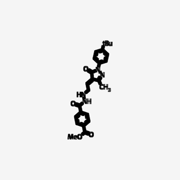 COC(=O)c1ccc(C(=O)NNCC=C2C(=O)N(c3ccc(C(C)(C)C)cc3)N=C2C)cc1